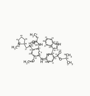 C=CC(=O)Nc1cc(Nc2ncc(C(=O)OC(C)C)c(-c3c[nH]c4ccccc34)n2)c(OC)cc1N(C)CC1CCCN1C